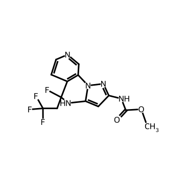 COC(=O)Nc1cc2n(n1)-c1cnccc1C(F)(CC(F)(F)F)N2